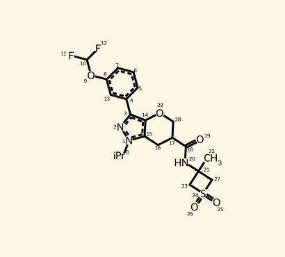 CC(C)n1nc(-c2cccc(OC(F)F)c2)c2c1CC(C(=O)NC1(C)CS(=O)(=O)C1)CO2